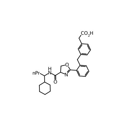 CCCC(NC(=O)C1COC(c2ccccc2Cc2cccc(CC(=O)O)c2)=N1)C1CCCCC1